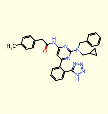 Cc1ccc(CC(=O)Nc2cc(-c3ccccc3-c3nnn[nH]3)nc(N(Cc3ccccc3)CC3CC3)n2)cc1